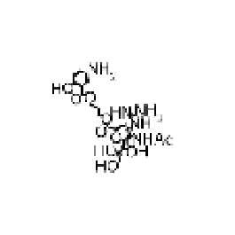 CC(=O)N[C@H]1[C@H]([C@H](O)[C@H](O)CO)OC(C(=O)OCCCOC(=O)c2cc(N)ccc2O)=C[C@@H]1NC(=N)N